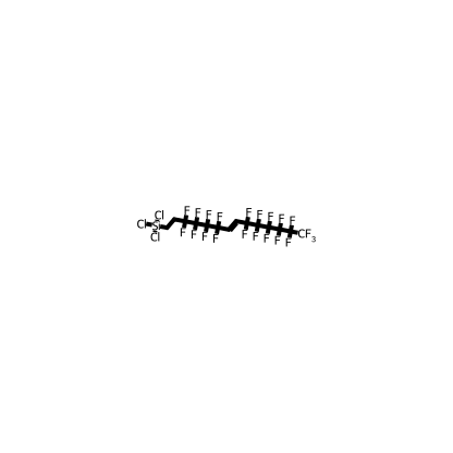 FC(F)(F)C(F)(F)C(F)(F)C(F)(F)C(F)(F)C(F)(F)C=CC(F)(F)C(F)(F)C(F)(F)C(F)(F)CC[Si](Cl)(Cl)Cl